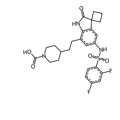 O=C(O)N1CCC(CCc2cc(NS(=O)(=O)c3ccc(F)cc3F)cc3c2NC(=O)C32CCC2)CC1